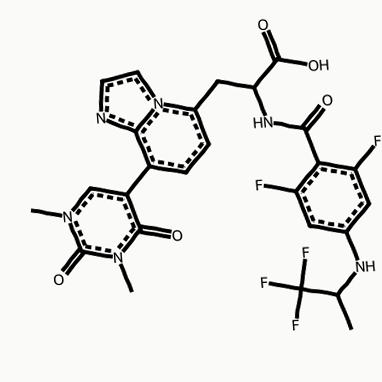 CC(Nc1cc(F)c(C(=O)NC(Cc2ccc(-c3cn(C)c(=O)n(C)c3=O)c3nccn23)C(=O)O)c(F)c1)C(F)(F)F